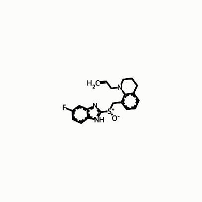 C=CCN1CCCc2cccc(C[S+]([O-])c3nc4cc(F)ccc4[nH]3)c21